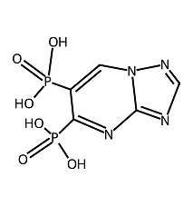 O=P(O)(O)c1cn2ncnc2nc1P(=O)(O)O